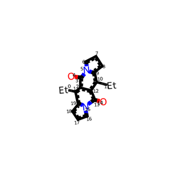 CCc1c2c(=O)n3cccc3c(CC)c2c(=O)n2cccc12